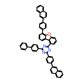 c1ccc(-c2ccc(-c3nc(-c4ccc(-c5ccc6ccccc6c5)cc4)nc(-c4cccc5oc6c(-c7ccc(-c8ccc9ccccc9c8)cc7)cccc6c45)n3)cc2)cc1